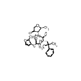 Cc1occc1OC(=O)N[C@@H](CC(C)(C)c1ccccc1)C(=O)N[C@@H]1C(=O)CO[C@H]1C